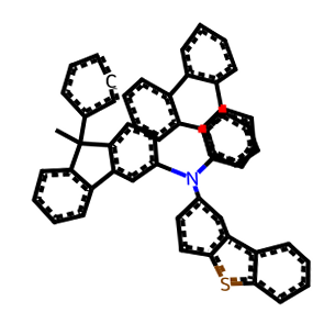 CC1(c2ccccc2)c2ccccc2-c2cc(N(c3ccc4sc5ccccc5c4c3)c3ccccc3-c3ccccc3-c3ccccc3-c3ccccc3)ccc21